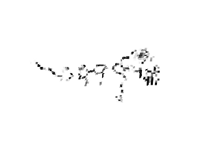 C=C(C)C(=O)OCC(CC#N)(COc1c(CCCC#N)cc(-c2ccc(-c3ccc(C4CCC(CCCCC)CC4)cc3F)cc2CC)cc1CCCC#N)CC1CCN1